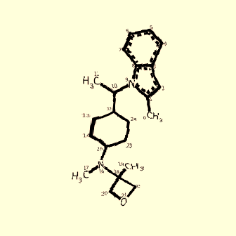 Cc1cc2ccccc2n1C(C)C1CCC(N(C)C2(C)COC2)CC1